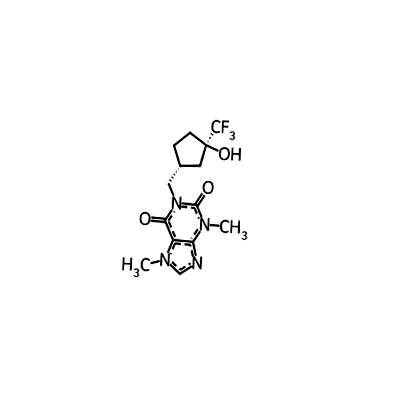 Cn1cnc2c1c(=O)n(C[C@@H]1CC[C@](O)(C(F)(F)F)C1)c(=O)n2C